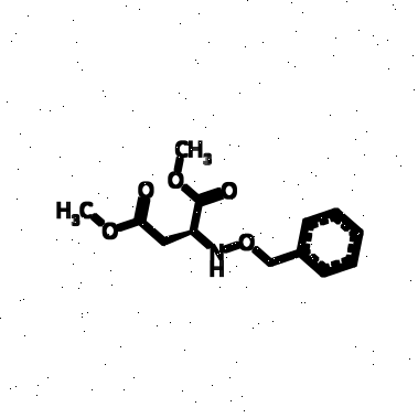 COC(=O)C[C@H](NOCc1ccccc1)C(=O)OC